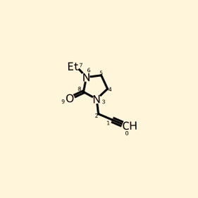 C#CCN1CCN(CC)C1=O